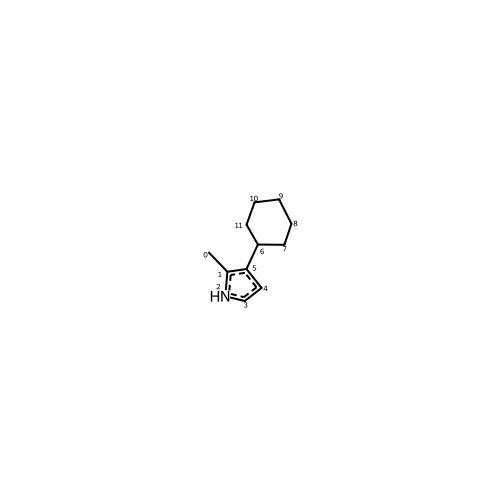 Cc1[nH]ccc1C1CCCCC1